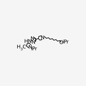 CC1CC(Nc2ncc(C3CCN(CCCCCCCCCOC(C)C)CC3)cn2)CN(C(C)C)C1